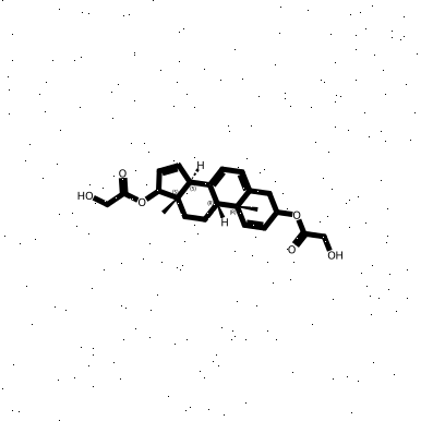 C[C@]12C=CC(OC(=O)CO)CC1=CC=C1[C@H]2CC[C@]2(C)C(OC(=O)CO)C=C[C@@H]12